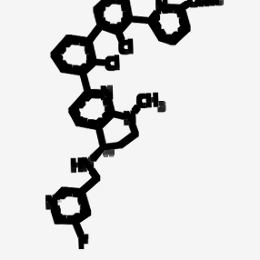 COc1cccc(-c2cccc(-c3cccc(-c4ccc5c(n4)N(C)CC[C@H]5NCc4cncc(F)c4)c3Cl)c2Cl)n1